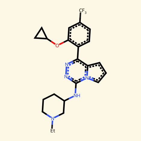 CCN1CCCC(Nc2nnc(-c3ccc(C(F)(F)F)cc3OC3CC3)c3cccn23)C1